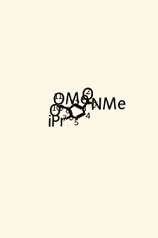 CNC(=O)c1ccc(C(C)C)c(C(=O)OC)c1